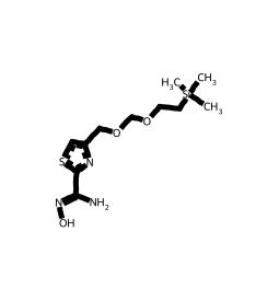 C[Si](C)(C)CCOCOCc1csc(/C(N)=N/O)n1